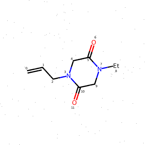 C=CCN1CC(=O)N(CC)CC1=O